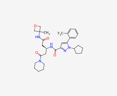 CC1(NC(=O)C[C@H](CC(=O)N2CCCCC2)NC(=O)c2cc(-c3ccccc3C(F)(F)F)n(C3CCCC3)n2)COC1